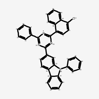 Clc1ccc(-c2nc(-c3ccccc3)nc(-c3ccc4c5ccccc5n(-c5ccccc5)c4c3)n2)c2ccccc12